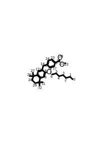 CCCCCCCOc1cc2c(cc1Cc1ccc(C(=O)OC)cc1)C(C)(C)CCC2(C)C